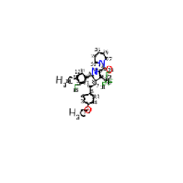 COc1ccc(CCC2C(c3ccc(C)c(F)c3)=NC(C(=O)N3CCCCC3)=C2C(F)(F)F)cc1